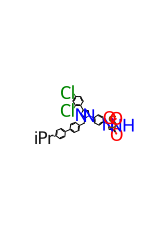 CC(C)c1ccc(-c2ccc(Cc3nc(-c4ccc(Cl)cc4Cl)cn3-c3ccc(N4CC(=O)NS4(=O)=O)cc3)cc2)cc1